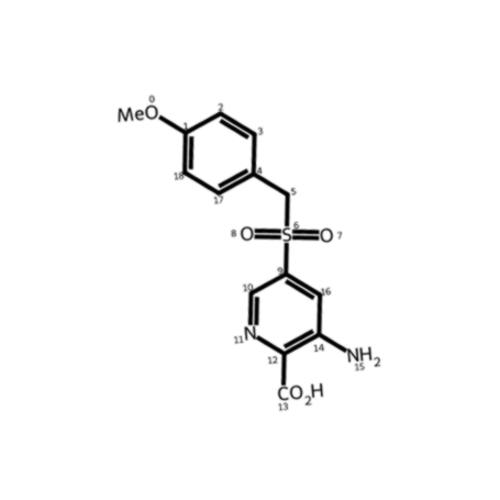 COc1ccc(CS(=O)(=O)c2cnc(C(=O)O)c(N)c2)cc1